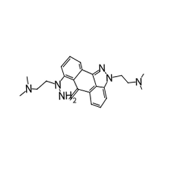 C=c1c2cccc3c2c(nn3CCN(C)C)c2cccc(N(N)CCN(C)C)c12